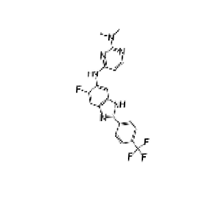 CN(C)c1nccc(Nc2cc3[nH]c(-c4ccc(C(F)(F)F)cc4)nc3cc2F)n1